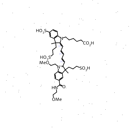 COCCNC(=O)c1ccc2c(c1)C(C)(CCCS(=O)(=O)O)C(/C=C/C=C/C=C1/N(CCCCCC(=O)O)c3ccc(S(=O)(=O)O)cc3C1(C)CCCS(=O)(=O)O)=[N+]2CCOC